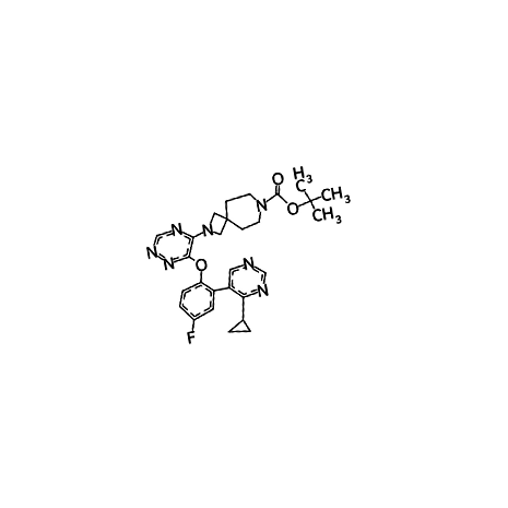 CC(C)(C)OC(=O)N1CCC2(CC1)CN(c1ncnnc1Oc1ccc(F)cc1-c1cncnc1C1CC1)C2